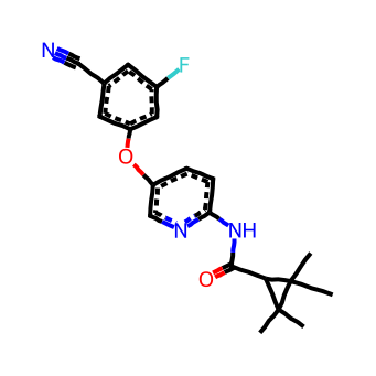 CC1(C)C(C(=O)Nc2ccc(Oc3cc(F)cc(C#N)c3)cn2)C1(C)C